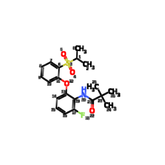 CC(C)S(=O)(=O)c1ccccc1Oc1cccc(F)c1NC(=O)C(C)(C)C